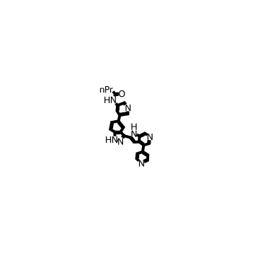 CCCC(=O)Nc1cncc(-c2ccc3[nH]nc(-c4cc5c(-c6ccncc6)cncc5[nH]4)c3c2)c1